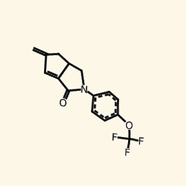 C=C1C=C2C(=O)N(c3ccc(OC(F)(F)F)cc3)CC2C1